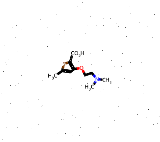 Cc1cc(OCCN(C)C)c(C(=O)O)s1